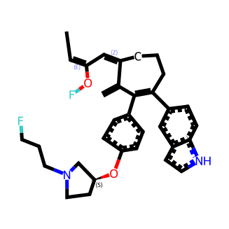 C=C1C(c2ccc(O[C@H]3CCN(CCCF)C3)cc2)=C(c2ccc3[nH]ccc3c2)CCC/C1=C/C(=C\C)OF